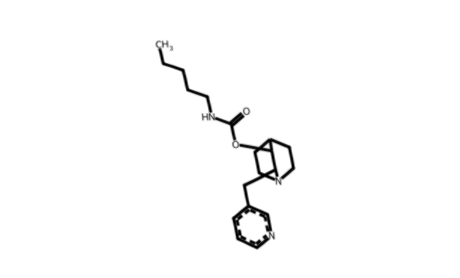 CCCCCNC(=O)OC1C2CCN(CC2)C1Cc1cccnc1